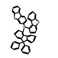 c1ccc(C2(c3ccccc3)c3ccccc3-c3c(N(c4ccc5c(c4)sc4ccccc45)c4cccc5sc6ccccc6c45)cccc32)cc1